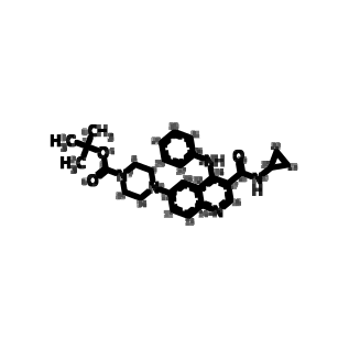 CC(C)(C)OC(=O)N1CCN(c2ccc3ncc(C(=O)NC4CC4)c(Nc4ccccc4)c3c2)CC1